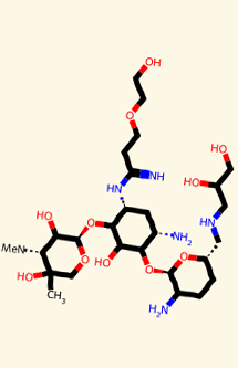 CN[C@@H]1C(O)[C@@H](OC2C(O)C(O[C@H]3O[C@H](CNCC(O)CO)CCC3N)[C@@H](N)C[C@H]2NC(=N)CCOCCO)OCC1(C)O